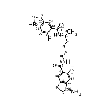 CC(CCCCNC(=O)c1cc2c(cc1F)B(N)CC2)NC(=O)c1cc2c(cc1F)BCC2